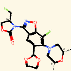 C[C@@H]1CN(c2c(C3OCCO3)cc3c(N4C(=O)OC[C@H]4CF)noc3c2F)C[C@H](C)O1